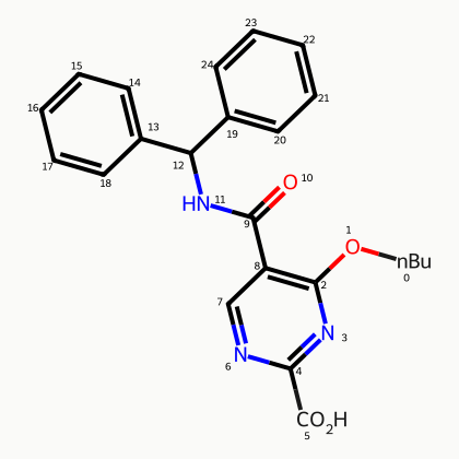 CCCCOc1nc(C(=O)O)ncc1C(=O)NC(c1ccccc1)c1ccccc1